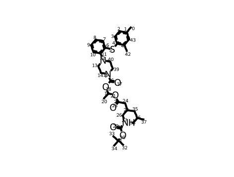 Cc1ccc(Sc2ccccc2N2CCN(C(=O)OC(C)OC(=O)CC(CNC(=O)OC(C)(C)C)CC(C)C)CC2)c(C)c1